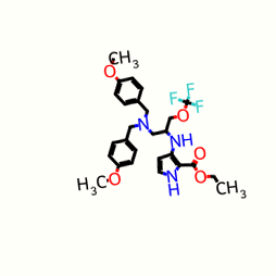 CCOC(=O)c1[nH]ccc1NC(COC(F)(F)F)CN(Cc1ccc(OC)cc1)Cc1ccc(OC)cc1